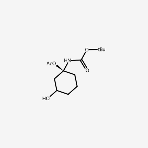 CC(=O)O[C@@]1(NC(=O)OC(C)(C)C)CCCC(O)C1